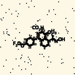 C/C(=N\O)c1cccc2c1c(=O)c(C(=O)O)nn2-c1ccc(OC(F)(F)F)cc1